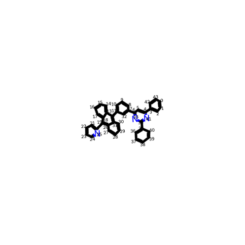 c1ccc(-c2cc(-c3cccc(-c4c5ccccc5c(-c5ccccn5)c5ccccc45)c3)nc(-c3ccccc3)n2)cc1